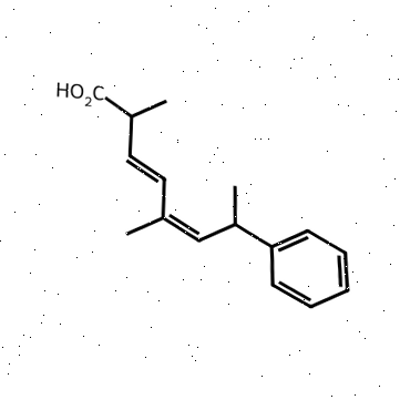 CC(C=CC(C)C(=O)O)=CC(C)c1ccccc1